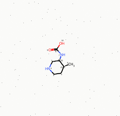 C[C@H]1CCNC[C@H]1NC(=O)O